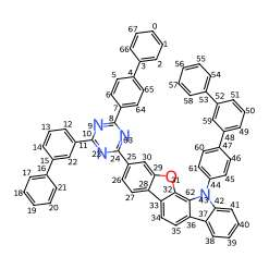 c1ccc(-c2ccc(-c3nc(-c4cccc(-c5ccccc5)c4)nc(-c4ccc5c(c4)oc4c5ccc5c6ccccc6n(-c6ccc(-c7cccc(-c8ccccc8)c7)cc6)c54)n3)cc2)cc1